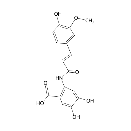 COc1cc(/C=C/C(=O)Nc2cc(O)c(O)cc2C(=O)O)ccc1O